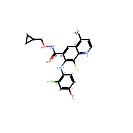 Cc1ccnc2c(F)c(Nc3ccc(Br)cc3F)c(C(=O)NOCC3CC3)cc12